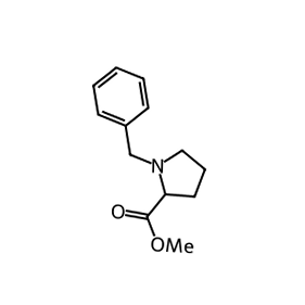 COC(=O)C1CCCN1Cc1ccccc1